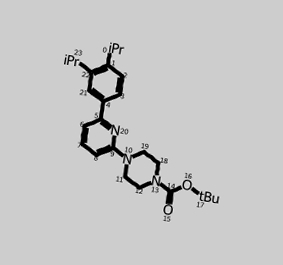 CC(C)c1ccc(-c2cccc(N3CCN(C(=O)OC(C)(C)C)CC3)n2)cc1C(C)C